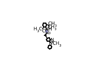 Cc1nc2cc(C3CC3/N=C/Nc3c(C(C)C)cccc3C(C)C)ccc2n1-c1ccccc1